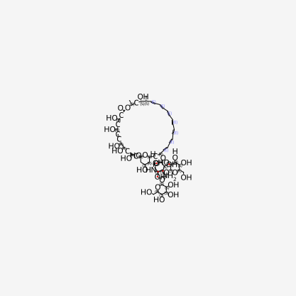 C[C@H]1C[C@H](O)[C@@H](C)/C=C/C=C/C=C/C=C/C=C/C=C/C=C/[C@H](O[C@@H]2OC[C@@H](O)[C@H](N)[C@@H]2O)C[C@@H]2O[C@](O)(C[C@@H](O)C[C@@H](O)[C@H](O)CC[C@@H](O)C[C@@H](O)CC(=O)O1)C[C@H](O)[C@H]2C(=O)NC(CO[C@H]1O[C@H](CO)[C@@H](O)[C@H](O)[C@@H]1O)CO[C@H]1O[C@H](CO)[C@@H](O)[C@H](O)[C@@H]1O